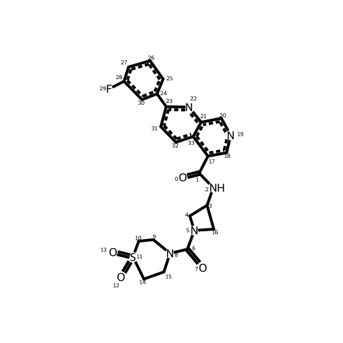 O=C(NC1CN(C(=O)N2CCS(=O)(=O)CC2)C1)c1cncc2nc(-c3cccc(F)c3)ccc12